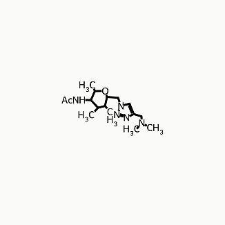 CC(=O)NC1C(C)OC(Cn2cc(CN(C)C)nn2)C(C)C1C